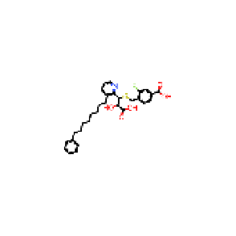 O=C(O)c1ccc(CSC(c2ncccc2CCCCCCCCc2ccccc2)C(O)C(=O)O)c(F)c1